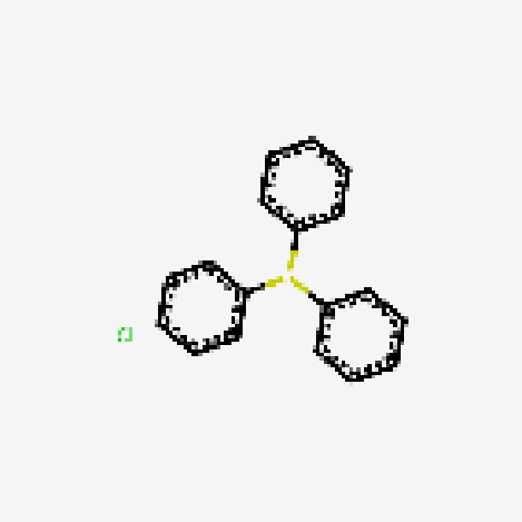 [Cl-].c1ccc([S+](c2ccccc2)c2ccccc2)cc1